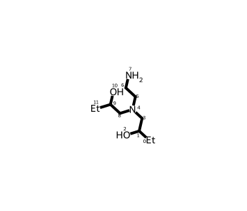 CCC(O)CN(CCN)CC(O)CC